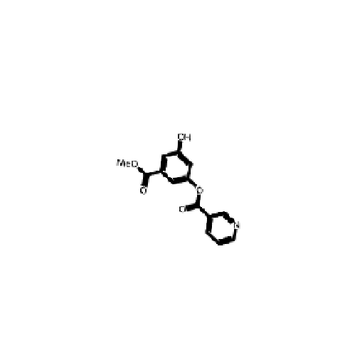 COC(=O)c1cc(O)cc(OC(=O)c2cccnc2)c1